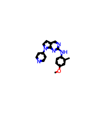 COc1ccc(Nc2ncc3ccn(-c4ccncc4)c3n2)c(C)c1